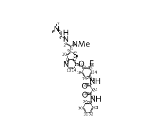 CN/C(=C\NCCN(C)C)c1cc2nccc(Oc3ccc(NC(=O)CC(=O)Nc4ccccc4)cc3F)c2s1